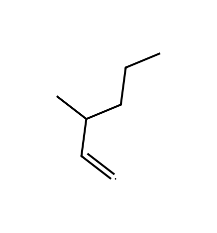 [CH]=CC(C)CCC